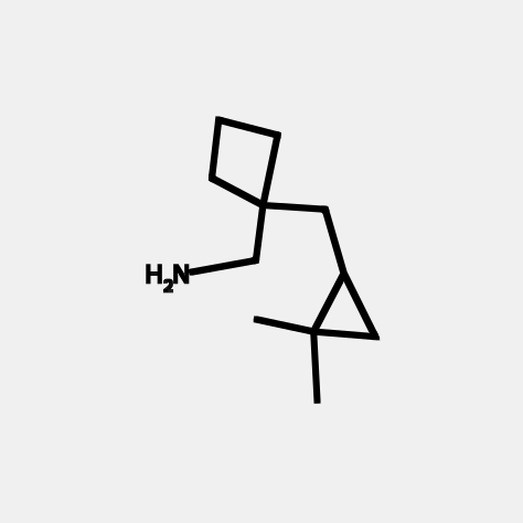 CC1(C)CC1CC1(CN)CCC1